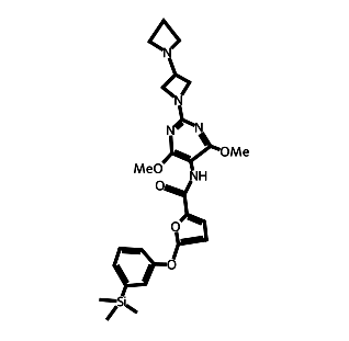 COc1nc(N2CC(N3CCC3)C2)nc(OC)c1NC(=O)c1ccc(Oc2cccc([Si](C)(C)C)c2)o1